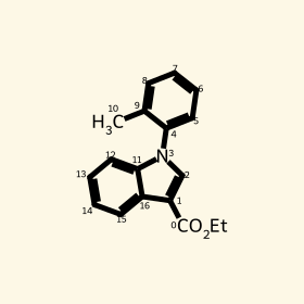 CCOC(=O)c1cn(-c2ccccc2C)c2ccccc12